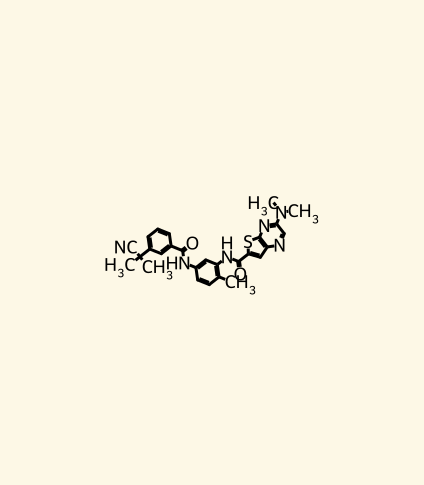 Cc1ccc(NC(=O)c2cccc(C(C)(C)C#N)c2)cc1NC(=O)c1cc2ncc(N(C)C)nc2s1